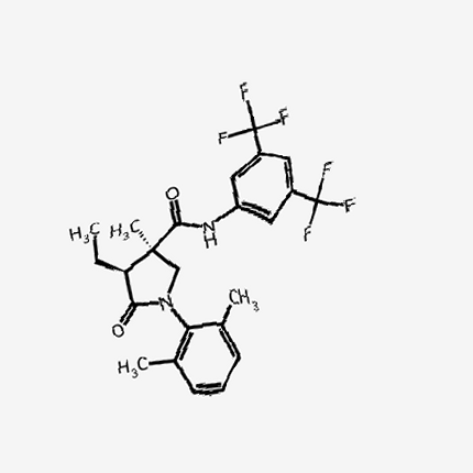 CC[C@@H]1C(=O)N(c2c(C)cccc2C)C[C@]1(C)C(=O)Nc1cc(C(F)(F)F)cc(C(F)(F)F)c1